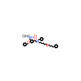 O=CNCc1cc(C(O)CN(CCCCCCOCCCCc2ccccc2)Cc2ccccc2)ccc1OCc1ccccc1